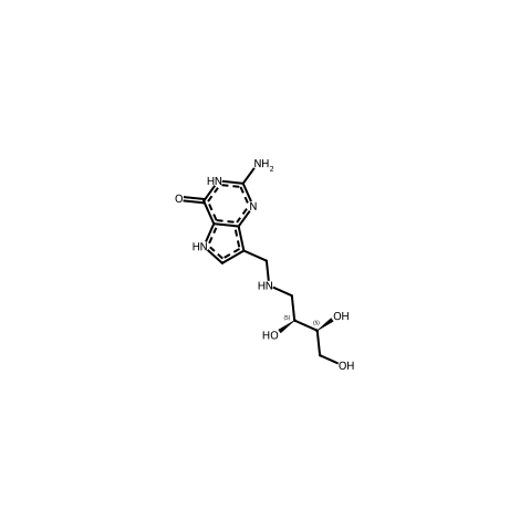 Nc1nc2c(CNC[C@H](O)[C@@H](O)CO)c[nH]c2c(=O)[nH]1